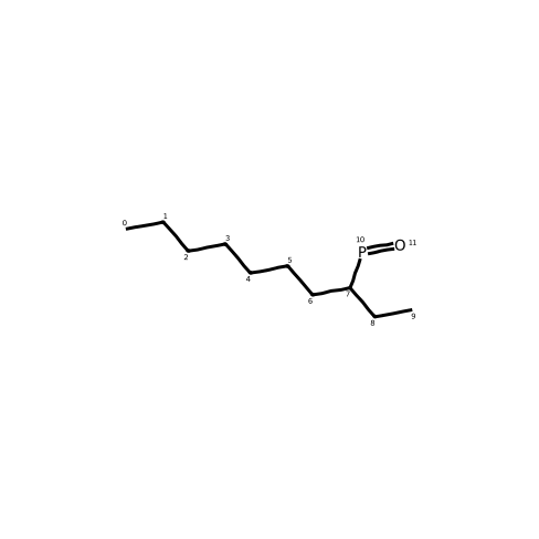 CCCCCCCC(CC)P=O